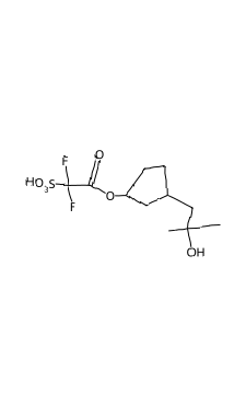 CC(C)(O)CC1CCC(OC(=O)C(F)(F)S(=O)(=O)O)C1